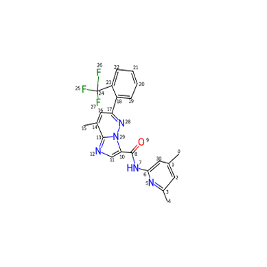 Cc1cc(C)nc(NC(=O)c2cnc3c(C)cc(-c4ccccc4C(F)(F)F)nn23)c1